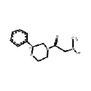 CC(C)N(C)CC(=O)N1CCO[C@@H](c2ccccc2)C1